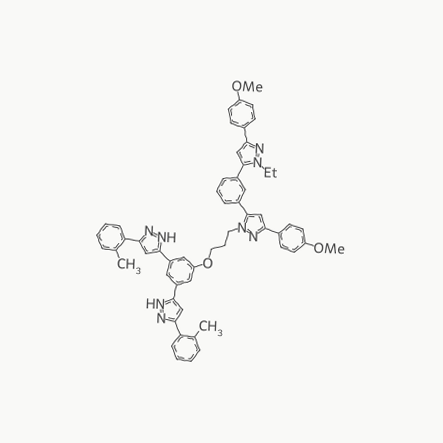 CCn1nc(-c2ccc(OC)cc2)cc1-c1cccc(-c2cc(-c3ccc(OC)cc3)nn2CCCOc2cc(-c3cc(-c4ccccc4C)n[nH]3)cc(-c3cc(-c4ccccc4C)n[nH]3)c2)c1